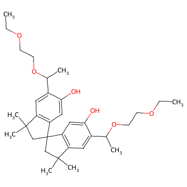 CCOCCOC(C)c1cc2c(cc1O)C1(CC2(C)C)CC(C)(C)c2cc(C(C)OCCOCC)c(O)cc21